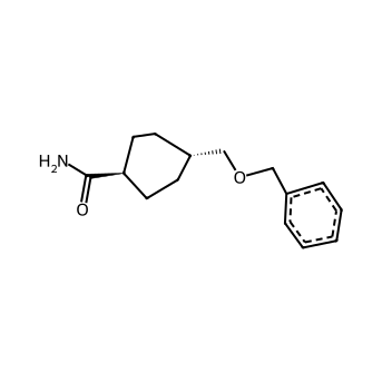 NC(=O)[C@H]1CC[C@H](COCc2ccccc2)CC1